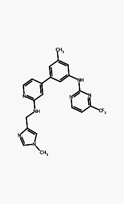 Cc1cc(Nc2nccc(C(F)(F)F)n2)cc(-c2ccnc(NCc3cn(C)cn3)c2)c1